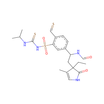 CCC1(CC(NC=O)c2ccc(C=S)c(S(=O)(=O)NC(=S)NC(C)C)c2)C(=O)NC=C1C